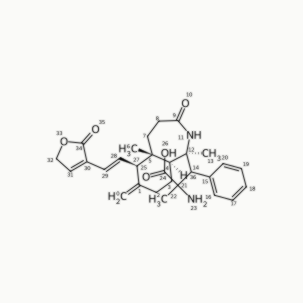 C=C1CC[C@H]2[C@@](C)(CCC(=O)N[C@@]2(C)C(c2ccccc2)C(C)(N)C(=O)O)[C@@H]1/C=C/C1=CCOC1=O